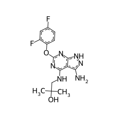 CC(C)(O)CNc1nc(Oc2ccc(F)cc2F)nc2[nH]nc(N)c12